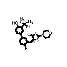 CCC(C)(C)c1cc(-c2ccc(F)c(/C=C3/SC(N4CCOCC4)=NC3=O)c2)ccc1O